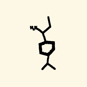 CCC(N)c1ccc(C(C)C)cc1